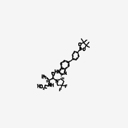 CC(C)[C@H](NC(=O)O)C(=O)N1CC(F)(F)C[C@H]1c1nc2cc(-c3ccc(B4OC(C)(C)C(C)(C)O4)cc3)ccc2[nH]1